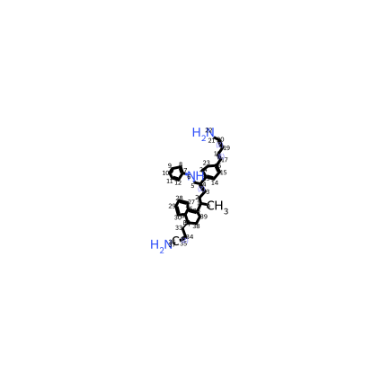 CC(C/C=C(\CNc1ccccc1)C1=CC=C(/C=C/C=C\CN)CC1)C1=C2C=CC=CC2[C@H](C/C=C\CN)CC1